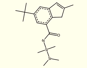 CC1=Cc2cc(C(C)(C)C)cc(C(=O)[N][Si](C)(C)[Si](C)C)c2C1